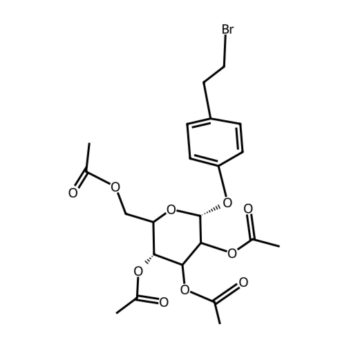 CC(=O)OCC1O[C@H](Oc2ccc(CCBr)cc2)C(OC(C)=O)C(OC(C)=O)[C@@H]1OC(C)=O